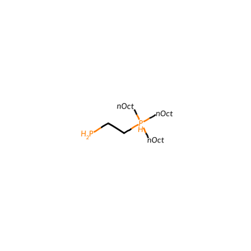 CCCCCCCC[PH](CCP)(CCCCCCCC)CCCCCCCC